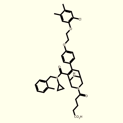 Cc1cc(Cl)c(OCCOc2ccc(C3=C(C(=O)N(Cc4ccccc4C)C4CC4)C4CN(C(=O)CCCC(=O)O)CC(C3)N4)cc2)cc1C